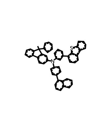 CC1(c2ccccc2)c2ccccc2-c2ccc(N(c3ccc(-c4cccc5ccccc45)cc3)c3cccc(-c4cccc5c4sc4ccccc45)c3)cc21